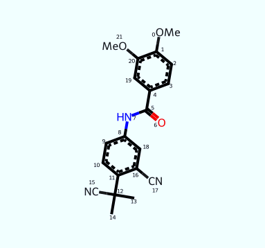 COc1ccc(C(=O)Nc2ccc(C(C)(C)C#N)c(C#N)c2)cc1OC